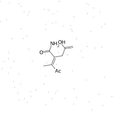 C=C(O)C/C(C(N)=O)=C(/C)C(C)=O